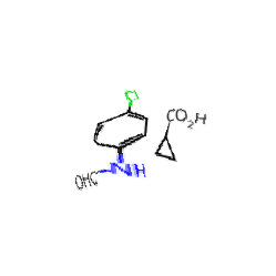 O=C(O)C1CC1.O=CNc1ccc(Cl)cc1